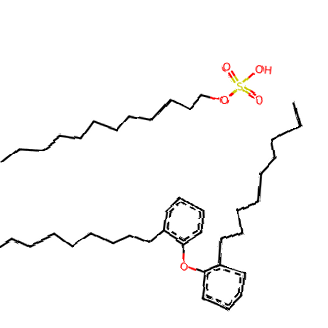 CCCCCCCCCCCCOS(=O)(=O)O.CCCCCCCCCc1ccccc1Oc1ccccc1CCCCCCCCC